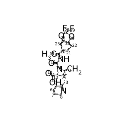 C=C1[C@H](Cc2ccccn2)C(C(=O)O)N1C(=O)N[C@H](C)c1ccc2c(c1)OC(F)(F)O2